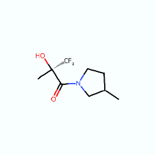 CC1CCN(C(=O)[C@@](C)(O)C(F)(F)F)C1